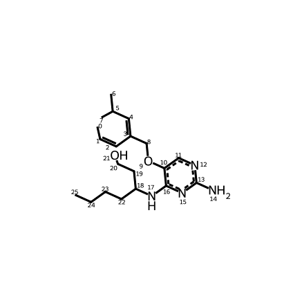 C/C=C\C(=C/C(C)C)COc1cnc(N)nc1NC(CCO)CCCC